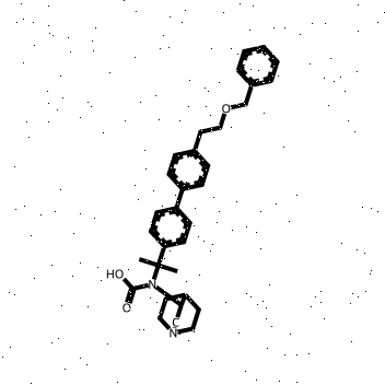 CC(C)(c1ccc(-c2ccc(CCOCc3ccccc3)cc2)cc1)N(C(=O)O)C1CN2CCC1CC2